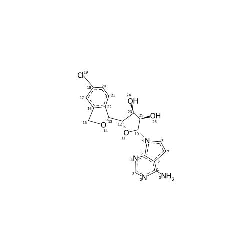 Nc1ncnc2c1ccn2[C@@H]1O[C@H]([C@@H]2OCc3cc(Cl)ccc32)[C@@H](O)[C@H]1O